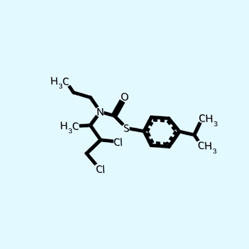 CCCN(C(=O)Sc1ccc(C(C)C)cc1)C(C)C(Cl)CCl